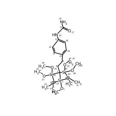 CO[Si](OC)(OC)C(CCc1ccc(NC(N)=O)cc1)([Si](OC)(OC)OC)[Si](OC)(OC)OC